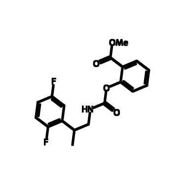 COC(=O)c1ccccc1OC(=O)NCC(C)c1cc(F)ccc1F